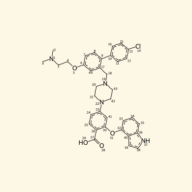 CN(C)CCOc1ccc(-c2ccc(Cl)cc2)c(CN2CCN(c3ccc(C(=O)O)c(Oc4cccc5[nH]ccc45)c3)CC2)c1